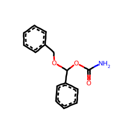 NC(=O)OC(OCc1ccccc1)c1ccccc1